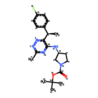 Cc1nnc([C@H](C)c2ccc(F)cc2)c(N[C@@H]2CCN(C(=O)OC(C)(C)C)C2)n1